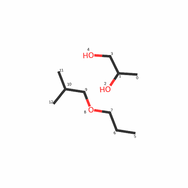 CC(O)CO.CCCOCC(C)C